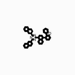 C1=c2ccccc2=CC(c2nc(-c3ccc4ccccc4c3)nc(-c3ccc(-c4cccc5oc6ccccc6c45)c4ccccc34)n2)C1